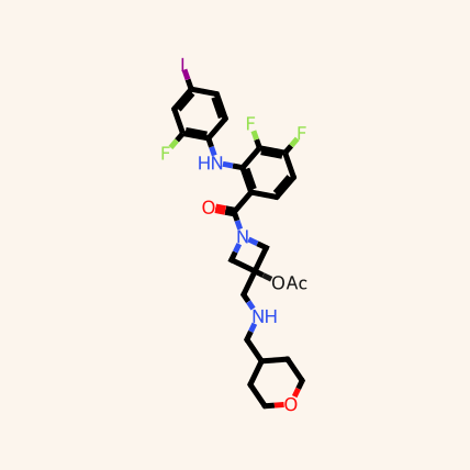 CC(=O)OC1(CNCC2CCOCC2)CN(C(=O)c2ccc(F)c(F)c2Nc2ccc(I)cc2F)C1